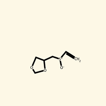 C=C[S+]([O-])CC1COCO1